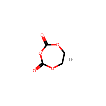 O=C1OCCOC(=O)O1.[Li]